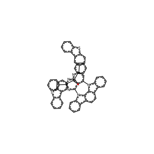 c1ccc(-c2nc(-c3ccccc3)nc(-n3c4ccccc4c4ccc5c6ccccc6n(-c6cc(-c7ccc8sc9ccccc9c8c7)nc(-c7ccc8sc9ccccc9c8c7)c6)c5c43)n2)cc1